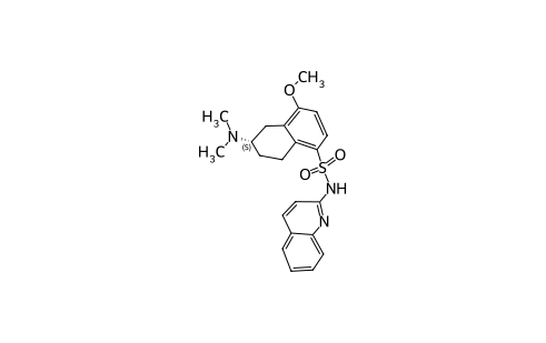 COc1ccc(S(=O)(=O)Nc2ccc3ccccc3n2)c2c1C[C@@H](N(C)C)CC2